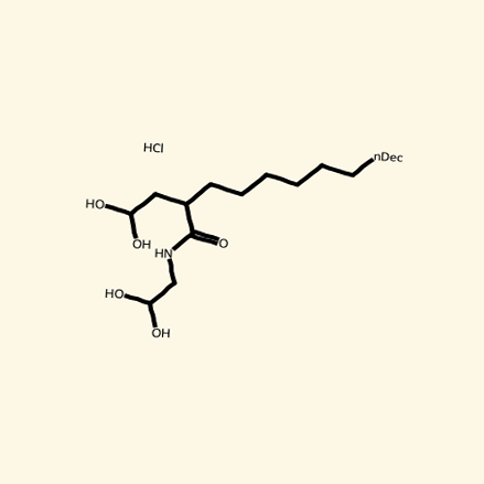 CCCCCCCCCCCCCCCCC(CC(O)O)C(=O)NCC(O)O.Cl